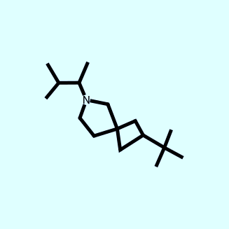 CC(C)C(C)N1CCC2(CC(C(C)(C)C)C2)C1